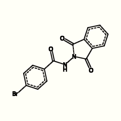 O=C(NN1C(=O)c2ccccc2C1=O)c1ccc(Br)cc1